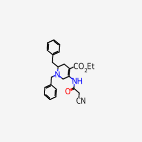 CCOC(=O)C1=C(NC(=O)CC#N)CN(Cc2ccccc2)C(Cc2ccccc2)C1